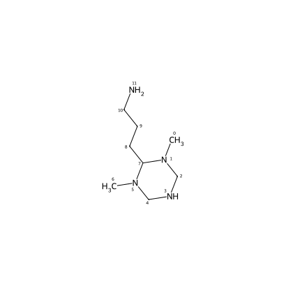 CN1CNCN(C)C1CCCN